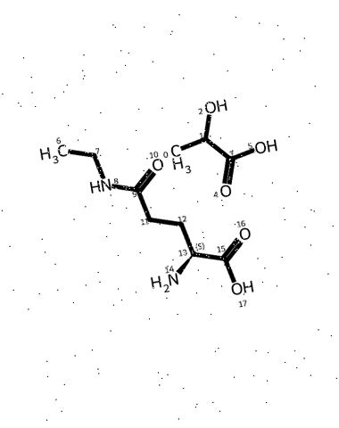 CC(O)C(=O)O.CCNC(=O)CC[C@H](N)C(=O)O